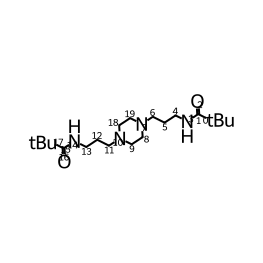 CC(C)(C)C(=O)NCCCN1CCN(CCCNC(=O)C(C)(C)C)CC1